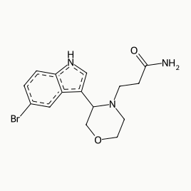 NC(=O)CCN1CCOCC1c1c[nH]c2ccc(Br)cc12